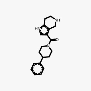 O=C(c1c[nH]c2c1CNCC2)N1CCC(c2ccccc2)CC1